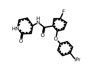 CC(C)c1ccc(Oc2ccc(F)cc2C(=O)Nc2cc[nH]c(=O)c2)cc1